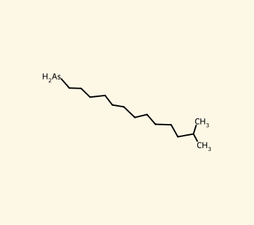 CC(C)CCCCCCCCCCC[AsH2]